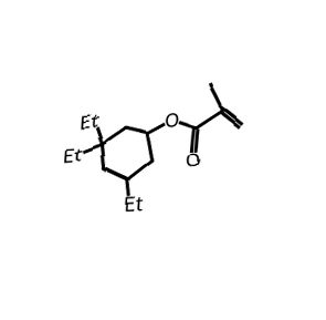 C=C(C)C(=O)OC1CC(CC)CC(CC)(CC)C1